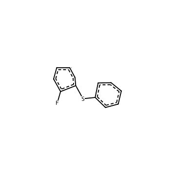 Fc1cc[c]cc1Sc1ccccc1